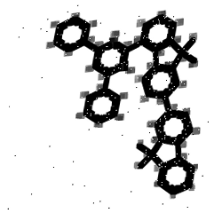 CC1(C)c2ccccc2-c2ccc(-c3ccc4c(c3)C(C)(C)c3cccc(-c5nc(-c6ccccc6)cc(-c6ccccc6)n5)c3-4)cc21